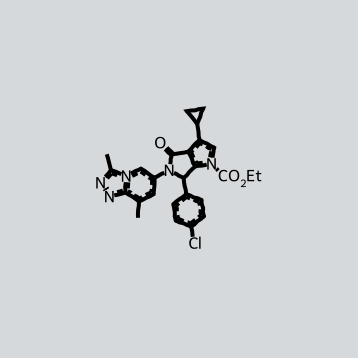 CCOC(=O)n1cc(C2CC2)c2c1C(c1ccc(Cl)cc1)N(c1cc(C)c3nnc(C)n3c1)C2=O